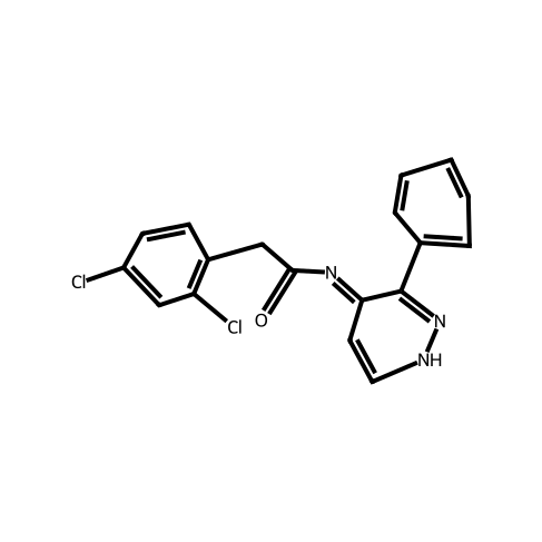 O=C(Cc1ccc(Cl)cc1Cl)N=c1cc[nH]nc1-c1ccccc1